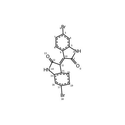 O=C1Nc2cc(Br)ccc2C1=C1C(=O)Nc2cc(Br)ccc21